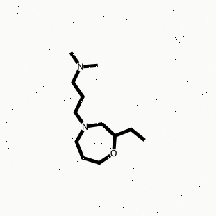 CCC1CN(CCCN(C)C)CCCO1